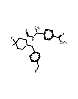 COC(=O)c1ccc([C@H](C)NC(=O)[C@H]2CC(F)(F)CCN2Cc2ccc(CF)cc2)cc1